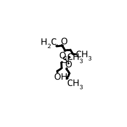 C=CC(=O)C(CCC)O[Si](C)(CCCO)OCCCC